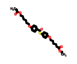 C=COC(=O)CCCCCOc1ccc(SC(=O)c2ccc(OCCCCCCOC(=O)C=C)cc2)cc1